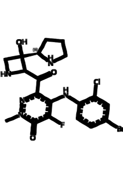 Cn1nc(C(=O)C2NCC2(O)[C@H]2CCCN2)c(Nc2ccc(Br)cc2Cl)c(F)c1=O